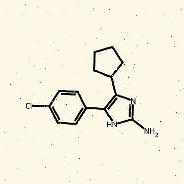 Nc1nc(C2CCCC2)c(-c2ccc(Cl)cc2)[nH]1